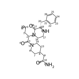 CC(C)CC(C(=O)N1CCC(CC(N)=O)CC1)N1CCN[C@@H](Cc2ccccc2)C1=O